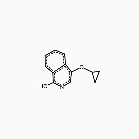 Oc1ncc(OC2CC2)c2ccccc12